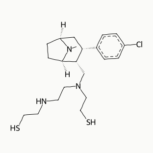 CN1[C@H]2CC[C@@H]1[C@@H](CN(CCS)CCNCCS)[C@@H](c1ccc(Cl)cc1)C2